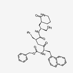 CC(C)C[C@H](CC(=O)[C@@H](Cc1cccc2ccccc12)NC(=O)OCc1ccccc1)C(=O)N[C@H](CO)C[C@@H]1CCCNC1=O